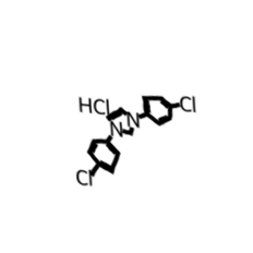 Cl.Clc1ccc(N2C=CN(c3ccc(Cl)cc3)C2)cc1